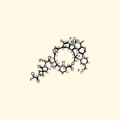 CO[C@@H](C)c1ncc(N2CCN(CC(F)(F)F)CC2)cc1-c1c2c3cc(c(F)cc3n1CC(F)(F)F)-c1csc(n1)C[C@H](NC(=O)[C@H](C(C)C)N1CCC3(CN(C(=O)[C@H](F)Cl)C3)C1=O)C(=O)N1CCC[C@H](N1)C(=O)OCC(C)(C)C2